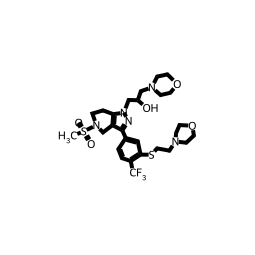 CS(=O)(=O)N1CCc2c(c(-c3ccc(C(F)(F)F)c(SCCN4CCOCC4)c3)nn2CC(O)CN2CCOCC2)C1